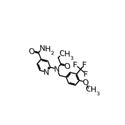 CCC(=O)N(Cc1ccc(OC)c(C(F)(F)F)c1)c1cc(C(N)=O)ccn1